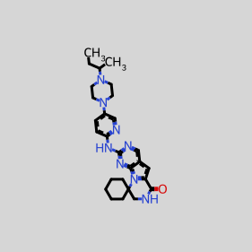 CCC(C)N1CCN(c2ccc(Nc3ncc4cc5n(c4n3)C3(CCCCC3)CNC5=O)nc2)CC1